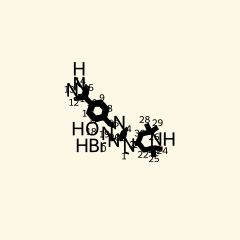 Br.CN(c1cnc(-c2ccc(-c3cn[nH]c3)cc2O)nn1)C1CC(C)(C)NC(C)(C)C1